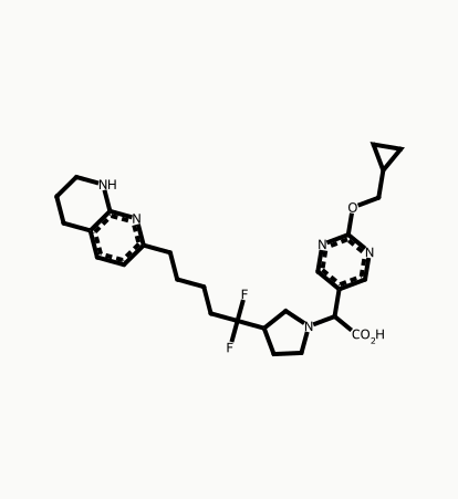 O=C(O)C(c1cnc(OCC2CC2)nc1)N1CCC(C(F)(F)CCCCc2ccc3c(n2)NCCC3)C1